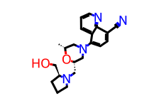 C[C@@H]1CN(c2ccc(C#N)c3ncccc23)C[C@H](CN2CCC[C@H]2CO)O1